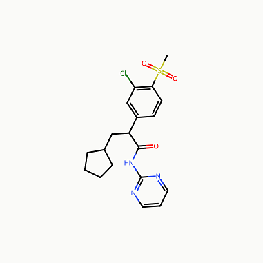 CS(=O)(=O)c1ccc(C(CC2CCCC2)C(=O)Nc2ncccn2)cc1Cl